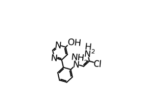 N/C(Cl)=C\N(N)c1ccccc1-c1cc(O)ncn1